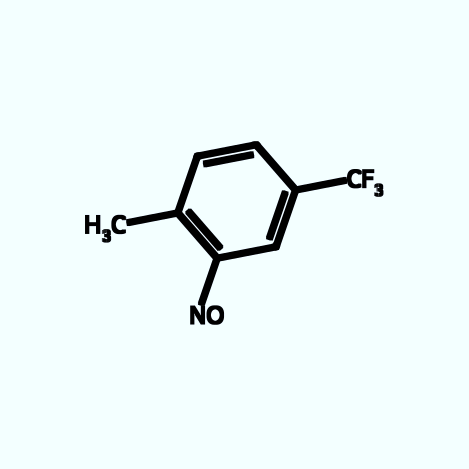 Cc1ccc(C(F)(F)F)cc1N=O